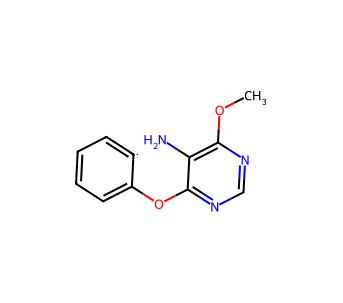 COc1ncnc(Oc2[c]cccc2)c1N